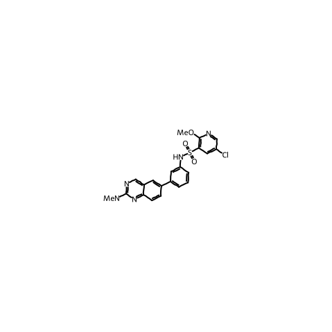 CNc1ncc2cc(-c3cccc(NS(=O)(=O)c4cc(Cl)cnc4OC)c3)ccc2n1